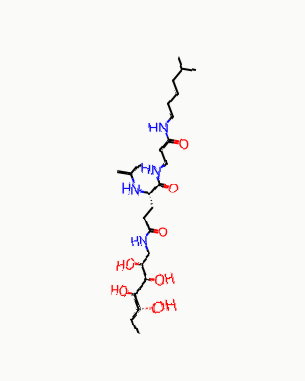 CC[C@@H](O)[C@@H](O)[C@H](O)[C@@H](O)CNC(=O)CC[C@H](NC(C)C)C(=O)NCCC(=O)NCCCCC(C)C